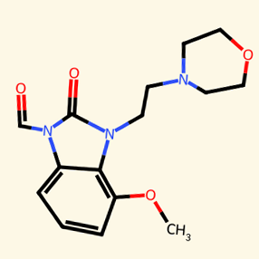 COc1cccc2c1n(CCN1CCOCC1)c(=O)n2C=O